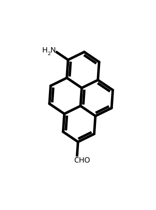 Nc1ccc2ccc3cc(C=O)cc4ccc1c2c34